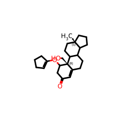 C[C@@]12CCCC1C1CCC3=CC(=O)CC(OC4=CCCC4)[C@]3(CO)C1CC2